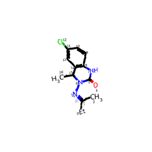 CC/C(C)=N/N1C(=O)Nc2ccc(Cl)cc2C1C